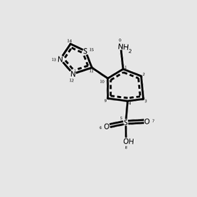 Nc1ccc(S(=O)(=O)O)cc1-c1nncs1